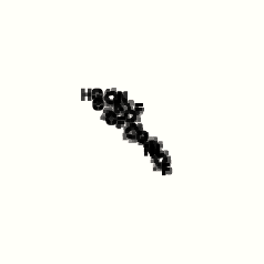 O=C(O)c1ccc2nc(Cc3cc(F)c(-c4cccc(OCc5ccn(-c6ccc(F)cc6)n5)n4)cc3F)n(C[C@@H]3CCO3)c2c1